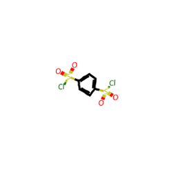 O=S(=O)(Cl)c1ccc(S(=O)(=O)Cl)cc1